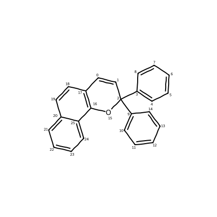 C1=CC(c2ccccc2)(c2ccccc2)Oc2c1ccc1ccccc21